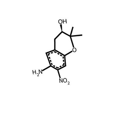 CC1(C)Oc2cc([N+](=O)[O-])c(N)cc2C[C@H]1O